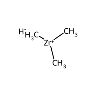 [CH3][Zr+]([CH3])[CH3].[H-]